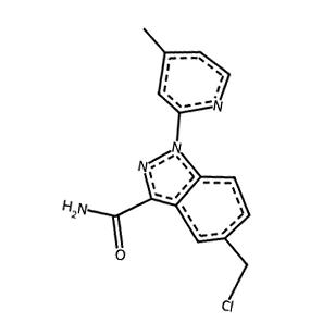 Cc1ccnc(-n2nc(C(N)=O)c3cc(CCl)ccc32)c1